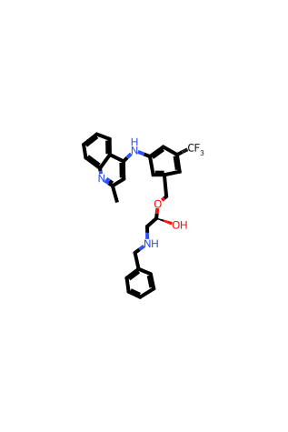 Cc1cc(Nc2cc(CO[C@@H](O)CNCc3ccccc3)cc(C(F)(F)F)c2)c2ccccc2n1